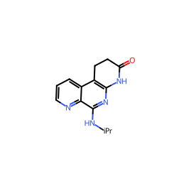 CC(C)Nc1nc2c(c3cccnc13)CCC(=O)N2